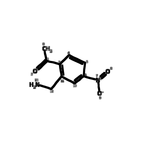 CC(=O)c1ccc([N+](=O)[O-])cc1CN